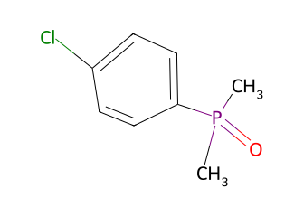 CP(C)(=O)c1ccc(Cl)cc1